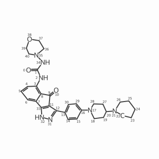 O=C(Nc1cccc2c1C(=O)c1c(-c3ccc(N4CCC(N5CCCCC5)CC4)cc3)n[nH]c1-2)NN1CCOCC1